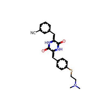 CN(C)CCSc1ccc(C=c2[nH]c(=O)c(=Cc3cccc(C#N)c3)[nH]c2=O)cc1